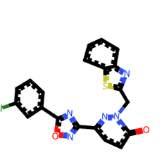 O=c1ccc(-c2noc(-c3cccc(Cl)c3)n2)nn1Cc1nc2ccccc2s1